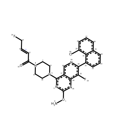 NOc1nc(N2CCN(C(=O)/C=C/CF)CC2)c2cnc(-c3cccc4cccc(Cl)c34)c(F)c2n1